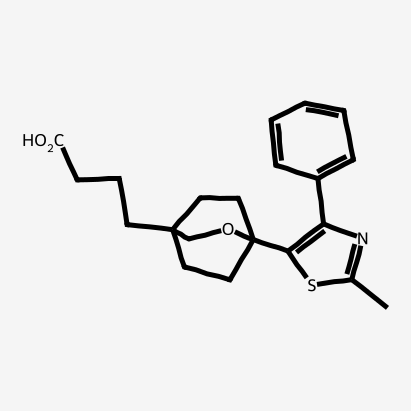 Cc1nc(-c2ccccc2)c(C23CCC(CCCC(=O)O)(CC2)CO3)s1